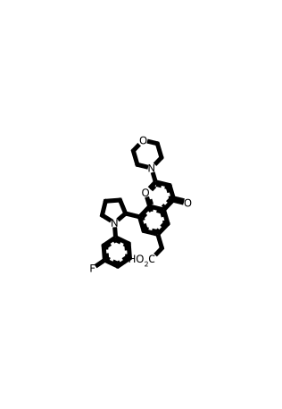 O=C(O)Cc1cc(C2CCCN2c2cccc(F)c2)c2oc(N3CCOCC3)cc(=O)c2c1